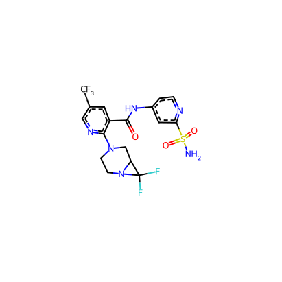 NS(=O)(=O)c1cc(NC(=O)c2cc(C(F)(F)F)cnc2N2CCN3C(C2)C3(F)F)ccn1